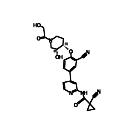 N#Cc1cc(-c2ccnc(NC(=O)C3(C#N)CC3)c2)ccc1O[C@H]1CCN(C(=O)CO)C[C@H]1O